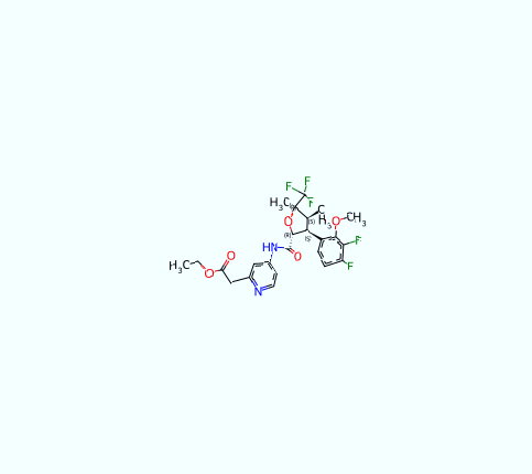 CCOC(=O)Cc1cc(NC(=O)[C@@H]2O[C@@](C)(C(F)(F)F)[C@@H](C)[C@H]2c2ccc(F)c(F)c2OC)ccn1